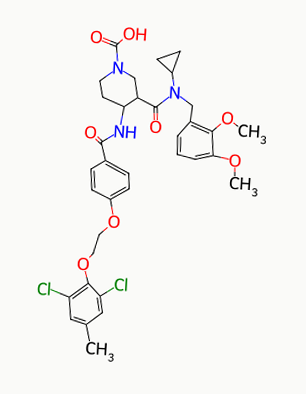 COc1cccc(CN(C(=O)C2CN(C(=O)O)CCC2NC(=O)c2ccc(OCCOc3c(Cl)cc(C)cc3Cl)cc2)C2CC2)c1OC